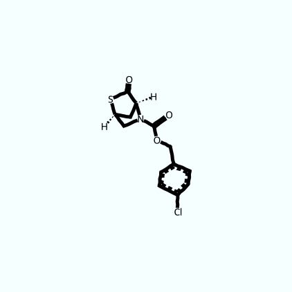 O=C1S[C@H]2C[C@@H]1N(C(=O)OCc1ccc(Cl)cc1)C2